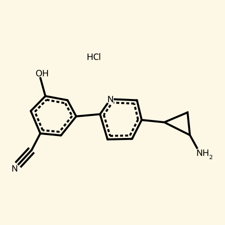 Cl.N#Cc1cc(O)cc(-c2ccc(C3CC3N)cn2)c1